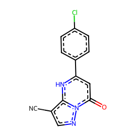 N#Cc1cnn2c(=O)cc(-c3ccc(Cl)cc3)[nH]c12